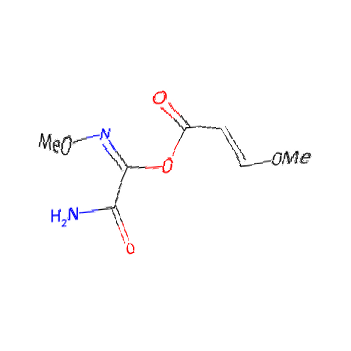 COC=CC(=O)OC(=NOC)C(N)=O